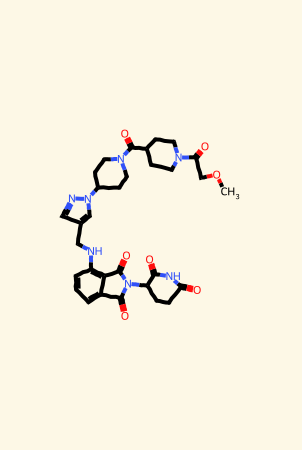 COCC(=O)N1CCC(C(=O)N2CCC(n3cc(CNc4cccc5c4C(=O)N(C4CCC(=O)NC4=O)C5=O)cn3)CC2)CC1